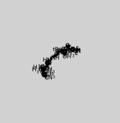 Cc1ncsc1-c1ccc([C@@H](NC(=O)[C@@H]2C[C@@H](O)CN2C(=O)[C@@H](NC(=O)COCCNCCNc2ccc(C(=O)N[C@H]3C(C)(C)[C@H](Oc4ccc(C#N)c(C(F)(F)F)c4)C3(C)C)cn2)C(C)(C)C)C2COC2)cc1